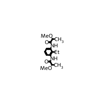 CCc1c(NC(=O)[C@H](C)OC)cccc1NC(=O)[C@H](C)OC